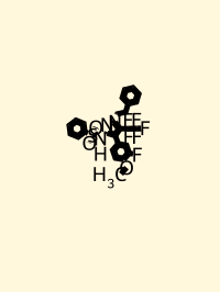 COc1ccc(-c2c(NS(=O)(=O)c3ccccc3)nn(CCc3ccccc3)c2C(F)(F)C(F)(F)F)cc1F